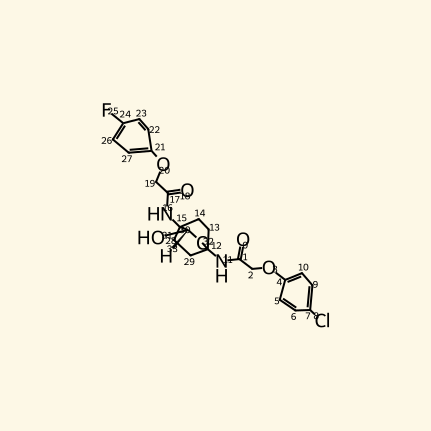 O=C(COc1ccc(Cl)cc1)NC12CCC(NC(=O)COc3ccc(F)cc3)(CC1)[C@@H](O)C2